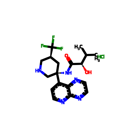 CC(C)[C@H](O)C(=O)N[C@]1(c2ccnc3nccnc23)CNC[C@@H](C(F)(F)F)C1.Cl